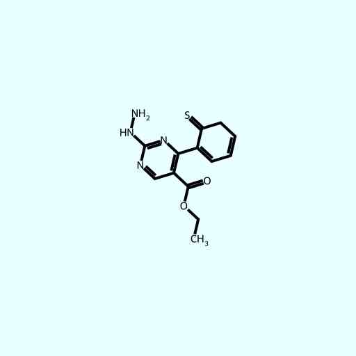 CCOC(=O)c1cnc(NN)nc1C1=CC=CCC1=S